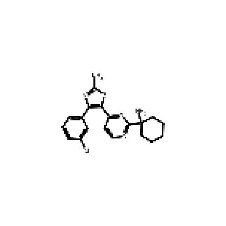 Nc1nc(-c2cccc(Cl)c2)c(-c2ccnc(C3(N)CCCCC3)n2)s1